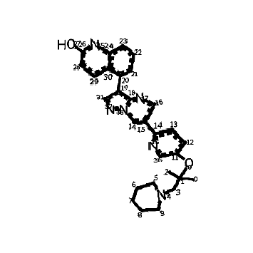 CC(C)(CN1CCCCC1)Oc1ccc(-c2cnc3c(-c4cccc5nc(O)ccc45)cnn3c2)nc1